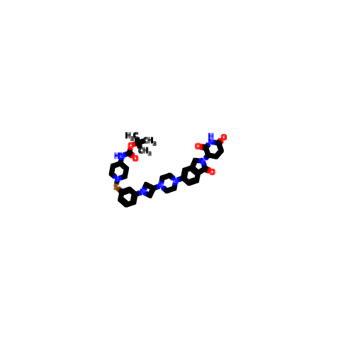 CC(C)(C)OC(=O)NC1CCN(Sc2cccc(N3CC(N4CCN(c5ccc6c(c5)CN(C5CCC(=O)NC5=O)C6=O)CC4)C3)c2)CC1